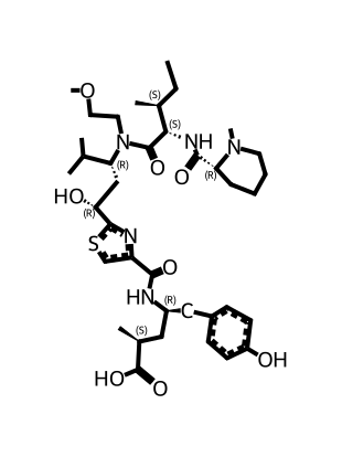 CC[C@H](C)[C@H](NC(=O)[C@H]1CCCCN1C)C(=O)N(CCOC)[C@H](C[C@@H](O)c1nc(C(=O)N[C@@H](Cc2ccc(O)cc2)C[C@H](C)C(=O)O)cs1)C(C)C